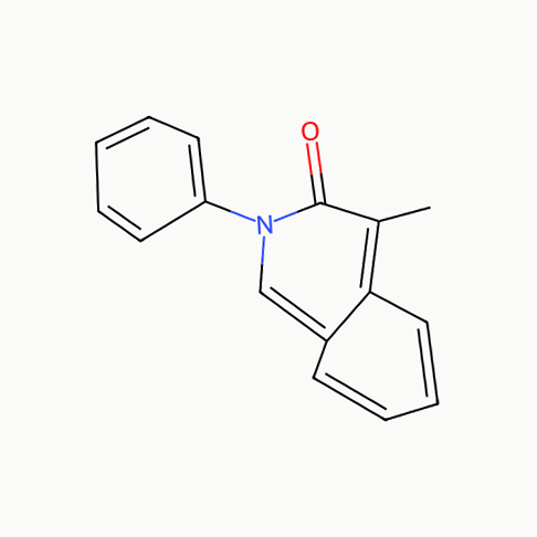 Cc1c(=O)n(-c2ccccc2)cc2ccccc12